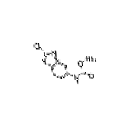 CN(C(=O)OC(C)(C)C)c1ccc2nc(Cl)nn2c1